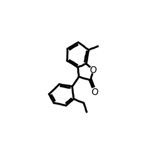 CCc1ccccc1C1C(=O)Oc2c(C)cccc21